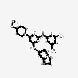 COC1CCN(c2cc(Nc3ccn4ccnc4c3)nc(Nc3cc(C)cc(C)n3)n2)CC1